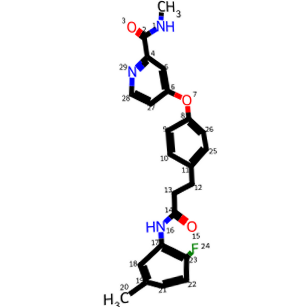 CNC(=O)c1cc(Oc2ccc(CCC(=O)Nc3cc(C)ccc3F)cc2)ccn1